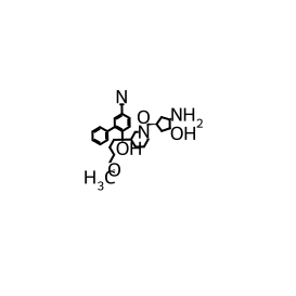 COCCCC[C@@](O)(c1ccc(C#N)cc1-c1ccccc1)C1CCCN(C(=O)[C@H]2C[C@@H](N)[C@@H](O)C2)C1